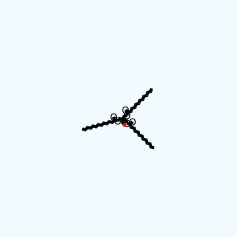 CCCCCCCCCCCCC(=O)OCC(CC)(COC(=O)CCCCCCCCCCCC)COC(=O)CCCCCCCCCCCC